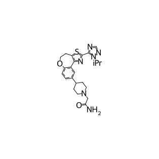 CC(C)n1ncnc1-c1nc2c(s1)CCOc1ccc(C3CCN(CC(N)=O)CC3)cc1-2